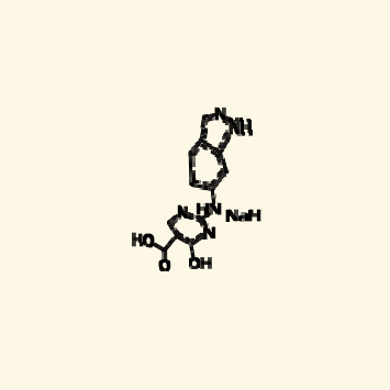 O=C(O)c1cnc(Nc2ccc3cn[nH]c3c2)nc1O.[NaH]